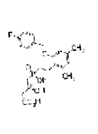 Cc1cc(C)c(CCP(=O)(O)C[C@@H](O)CC(=O)O)c(OCc2ccc(F)cc2)c1